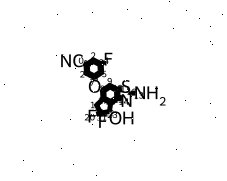 N#Cc1cc(F)cc(Oc2cc3sc(N)nc3c3c2CC(F)(F)C3O)c1